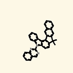 CC1(C)c2cc3ccccc3cc2-c2c1ccc1c2c2ccccc2n1-c1ncc2ccccc2n1